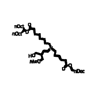 CCCCCCCCCCCOC(=O)CCCCCN(CCCCCCCC(=O)OC(CCCCCCCC)CCCCCCCC)CCC(CO)COC